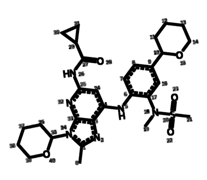 Cc1nc2c(Nc3ccc(C4CCCCO4)cc3N(C)S(C)(=O)=O)cc(NC(=O)C3CC3)nc2n1C1CCCCO1